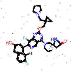 CCc1c(F)ccc2cc(O)cc(-c3ncc4c(N5CCC[C@]6(CC(=O)N6)C5)nc(OCC5(CN6CCCC6)CC5)nc4c3F)c12